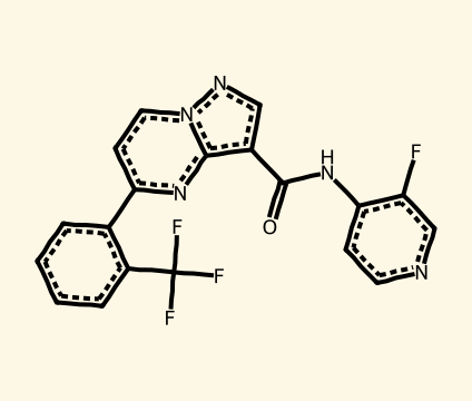 O=C(Nc1ccncc1F)c1cnn2ccc(-c3ccccc3C(F)(F)F)nc12